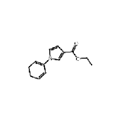 CCOC(=O)c1ccn(C2=CCCC=C2)c1